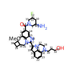 COc1cc(C(=O)N2C[C@H](N)C[C@@H](F)C2)cc2nc(-c3cc4cccc5c4n3CCN5CCCO)n(CC3CCC3)c12